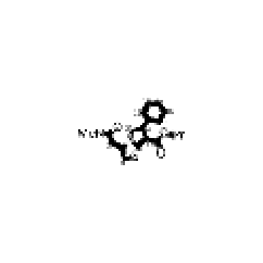 CNC(=O)C=C1CSC2=C(C(=O)OC(C)C)C(c3ccccc3)CN12